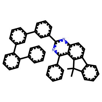 CC1(C)c2ccccc2-c2ccc3nc(-c4cccc(-c5cccc(-c6ccccc6-c6ccccc6)c5)c4)nc(-c4ccccc4)c3c21